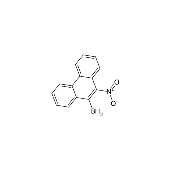 Bc1c([N+](=O)[O-])c2ccccc2c2ccccc12